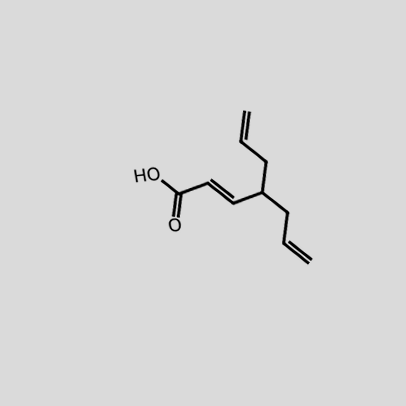 C=CCC(C=CC(=O)O)CC=C